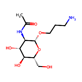 CC(=O)N[C@H]1[C@H](OCCCN)O[C@H](CO)[C@@H](O)[C@@H]1O